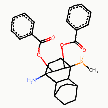 CPC12CCC(N)(C(OC(=O)c3ccccc3)C1OC(=O)c1ccccc1)C1C3CCC(CC3)C12